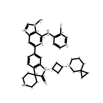 CC(C)n1cnc2cc(-c3ccc4c(c3)N([C@H]3C[C@@H](N5CCCC6(CC6)C5)C3)C(=O)C43CCNCC3)nc(Nc3ccncc3F)c21